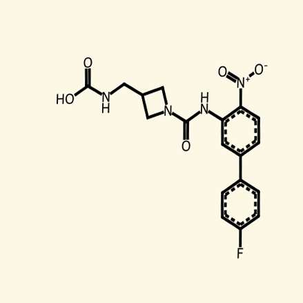 O=C(O)NCC1CN(C(=O)Nc2cc(-c3ccc(F)cc3)ccc2[N+](=O)[O-])C1